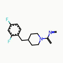 C=NC(=C)N1CCC(Cc2ccc(F)cc2F)CC1